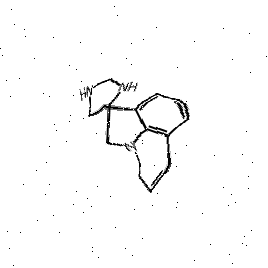 C1=Cc2cccc3c2N(C1)CC31CNCN1